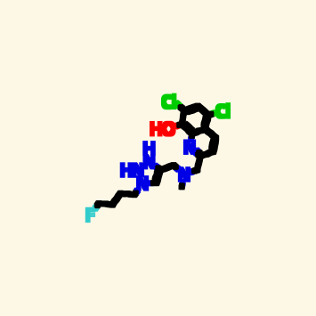 CN(CC1=CN(CCCCF)NN1)Cc1ccc2c(Cl)cc(Cl)c(O)c2n1